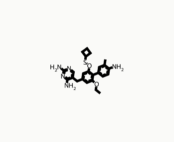 CCOc1cc(Cc2cnc(N)nc2N)cc(OSC2CCC2)c1-c1ccc(N)c(C)c1